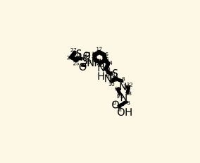 O=C(O)CN1CCN(Cc2cnc(-c3cc4cccc(NS(=O)(=O)c5cccs5)c4[nH]3)s2)CC1